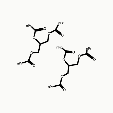 CCCC(=O)OCC(COC(=O)CCC)OC(=O)CCC.CCCC(=O)OCC(COC(=O)CCC)OC(=O)CCC